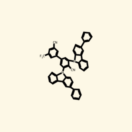 N#Cc1cc(-c2cc(-n3c4ccccc4c4cc(-c5ccccc5)ccc43)c(C#N)c(-n3c4ccccc4c4cc(-c5ccccc5)ccc43)c2)cc(C(F)(F)F)c1